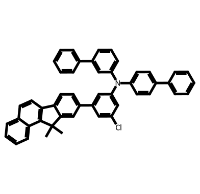 CC1(C)c2cc(-c3cc(Cl)cc(N(c4ccc(-c5ccccc5)cc4)c4cccc(-c5ccccc5)c4)c3)ccc2-c2ccc3ccccc3c21